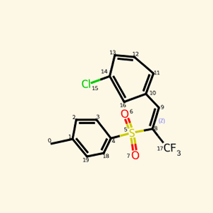 Cc1ccc(S(=O)(=O)/C(=C\c2cccc(Cl)c2)C(F)(F)F)cc1